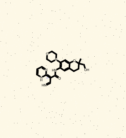 CC1(CO)CCc2cc(NC(=O)/C(C=N)=C3\N=CC=CN3)c(N3CCOCC3)cc2O1